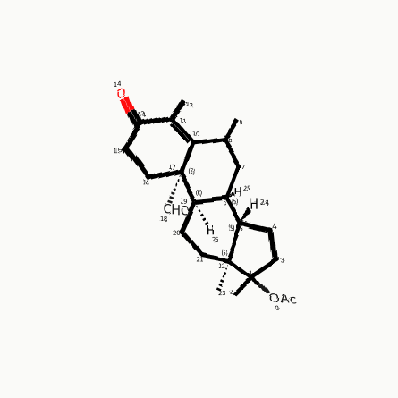 CC(=O)OC1(C)CC[C@H]2[C@@H]3CC(C)C4=C(C)C(=O)CC[C@]4(C=O)[C@@H]3CC[C@@]21C